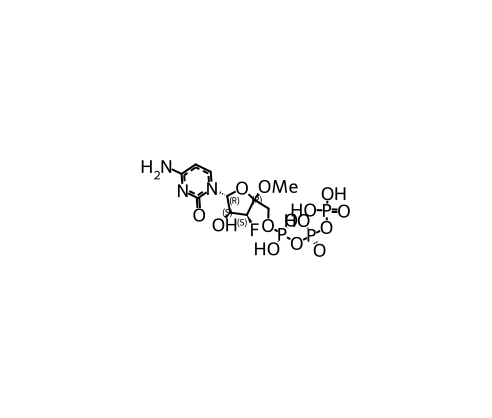 CO[C@]1(COP(=O)(O)OP(=O)(O)OP(=O)(O)O)O[C@@H](n2ccc(N)nc2=O)[C@H](O)[C@@H]1F